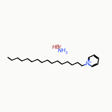 Br.CCCCCCCCCCCCCCCC[n+]1ccccc1.N